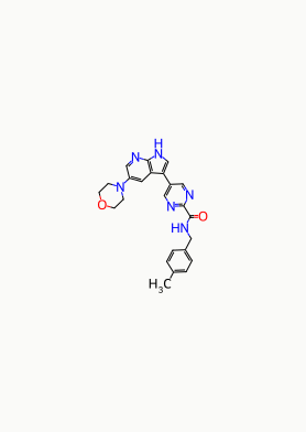 Cc1ccc(CNC(=O)c2ncc(-c3c[nH]c4ncc(N5CCOCC5)cc34)cn2)cc1